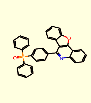 O=P(c1ccccc1)(c1ccccc1)c1ccc(-c2nc3ccccc3c3oc4ccccc4c23)cc1